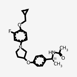 CC(=O)N[C@@H](C)c1ccc(OC2CCN(c3ccc(OCC4CC4)c(F)c3)C2)cc1